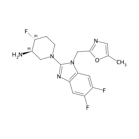 Cc1cnc(Cn2c(N3CC[C@@H](F)[C@H](N)C3)nc3cc(F)c(F)cc32)o1